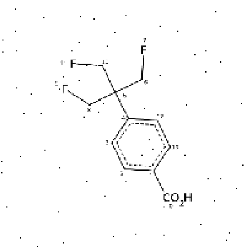 O=C(O)c1ccc(C(CF)(CF)CF)cc1